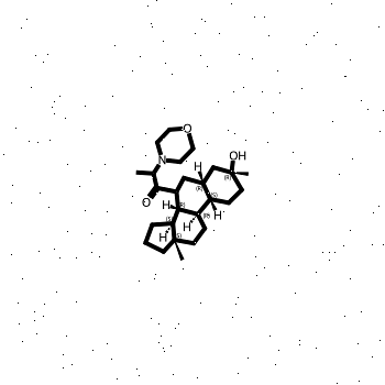 CC(C(=O)C1C[C@@H]2C[C@](C)(O)CC[C@@H]2[C@H]2CC[C@]3(C)CCC[C@H]3[C@H]12)N1CCOCC1